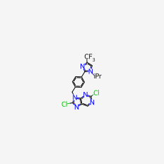 CC(C)n1cc(C(F)(F)F)nc1-c1ccc(Cn2c(Cl)nc3cnc(Cl)nc32)cc1